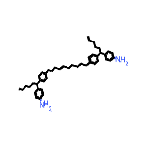 CCCCCC(c1ccc(N)cc1)c1ccc(CCCCCCCCCCc2ccc(C(CCCCC)c3ccc(N)cc3)cc2)cc1